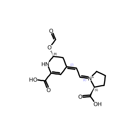 O=CO[C@@H]1C/C(=C/C=[N+]2\CCC[C@H]2C(=O)O)C=C(C(=O)O)N1